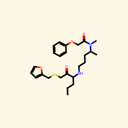 CCCC(NCCCC(C)N(C)C(=O)COc1ccccc1)C(=O)CSCc1ccco1